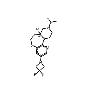 CC(C)N1CCN2c3ncc(N4CC(F)(F)C4)cc3SCC[C@@H]2C1